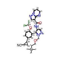 C[Si](C)(C)CCOCn1ncc(NC(=O)c2cnn3cccnc23)c1-c1cc(C2CC2C#N)ccc1OC(F)F